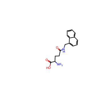 NC(CCC(=O)NCc1cccc2ccccc12)C(=O)O